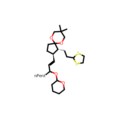 CCCCCC(C=C[C@H]1CCC2(OCC(C)(C)CO2)[C@@H]1CCC1SCCS1)OC1CCCCO1